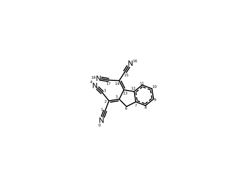 N#CC(C#N)=C1Cc2ccccc2C1=C(C#N)C#N